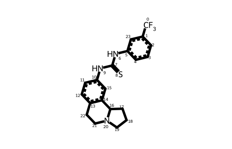 FC(F)(F)c1cccc(NC(=S)Nc2ccc3c(c2)C2CCCN2CC3)c1